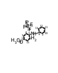 COc1ccc([NH2+]Cc2ccccc2)cc1.F[B-](F)(F)F